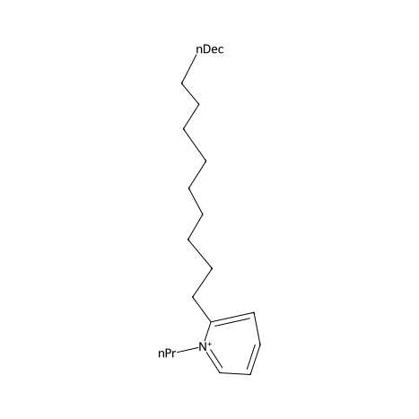 CCCCCCCCCCCCCCCCCCCc1cccc[n+]1CCC